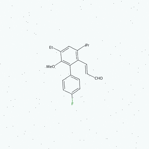 CCc1cc(C(C)C)c(/C=C/C=O)c(-c2ccc(F)cc2)c1OC